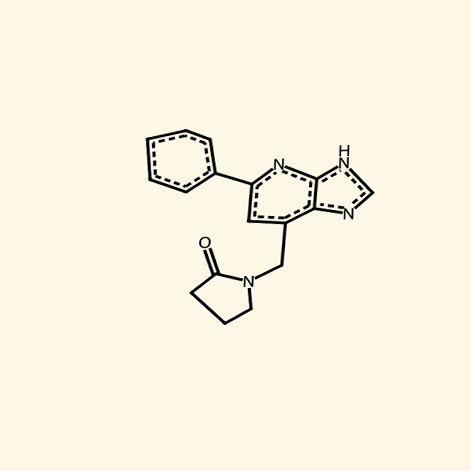 O=C1CCCN1Cc1cc(-c2ccccc2)nc2[nH]cnc12